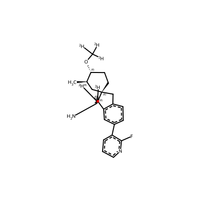 [2H]C([2H])([2H])O[C@@H]1CC[C@]2(Cc3ccc(-c4cccnc4F)cc3[C@]23N=C(N)OC3([2H])[2H])C[C@H]1C